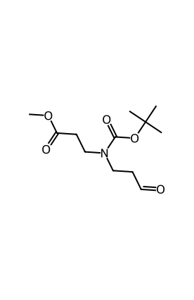 COC(=O)CCN(CCC=O)C(=O)OC(C)(C)C